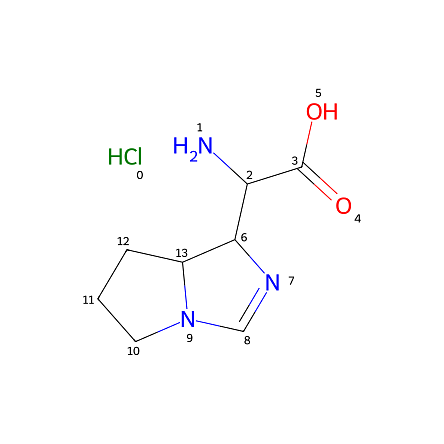 Cl.NC(C(=O)O)C1N=CN2CCCC12